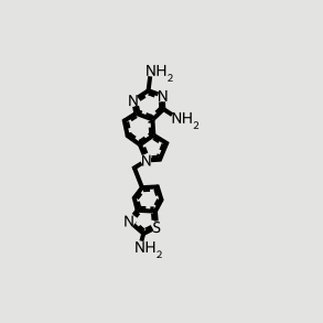 Nc1nc(N)c2c(ccc3c2ccn3Cc2ccc3sc(N)nc3c2)n1